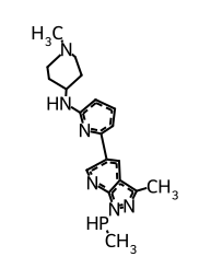 CPn1nc(C)c2cc(-c3cccc(NC4CCN(C)CC4)n3)cnc21